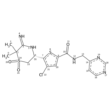 CC1(C)C(=N)N[C@H](c2sc(C(=O)NCc3ccncn3)cc2Cl)CS1(=O)=O